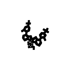 CC[Si](C)=[Hf]([CH3])([CH3])([CH]1C=Cc2c(-c3ccc(C(C)(C)C)cc3C)cccc21)[CH]1C=Cc2c(-c3ccc(C(C)(C)C)cc3C)cccc21